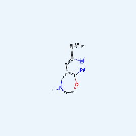 CSc1cc2c(nn1)OCCN(C)C2